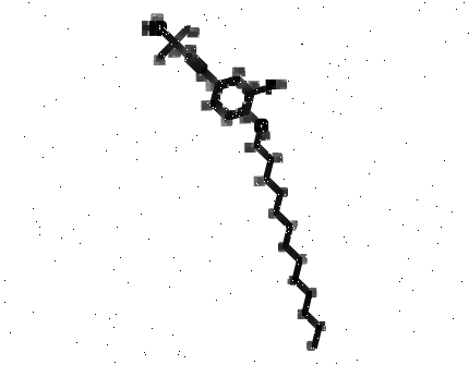 CCCCCCCCCCCCCOc1ccc(C#CC(C)(C)O)cc1F